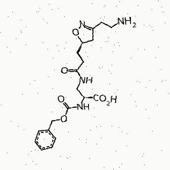 NCCC1=NO[C@H](CCC(=O)NC[C@H](NC(=O)OCc2ccccc2)C(=O)O)C1